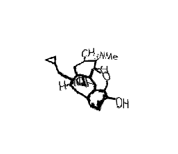 CN[C@@H]1[C@H](C)C[C@@]2(O)[C@H]3Cc4ccc(O)c5c4[C@@]2(CCN3CC2CC2)[C@H]1O5